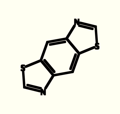 c1nc2cc3scnc3cc2s1